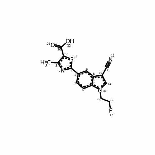 Cc1nc(-c2ccc3c(c2)c(C#N)cn3CCF)sc1C(=O)O